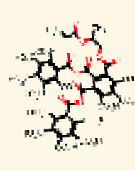 C=CC(=O)OC(C)COC(=O)c1c(C(=O)O)c(C(=O)O)c(C(=O)O)c(C(=O)OC(=O)c2c(C(=O)O)c(C(=O)O)c(C(=O)O)c(C(=O)O)c2C(=O)O)c1C(=O)OC(=O)c1c(C(=O)O)c(C(=O)O)c(C(=O)O)c(C(=O)O)c1C(=O)O